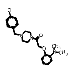 CN(C)c1ccccc1OCC(=O)N1CCN(Cc2ccc(Cl)cc2)CC1